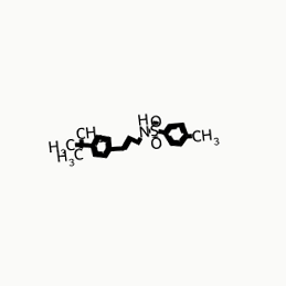 Cc1ccc(S(=O)(=O)NC/C=C/c2ccc(C(C)(C)C)cc2)cc1